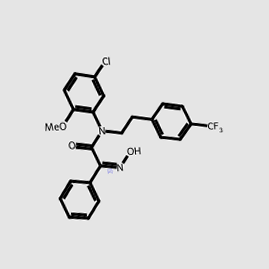 COc1ccc(Cl)cc1N(CCc1ccc(C(F)(F)F)cc1)C(=O)/C(=N\O)c1ccccc1